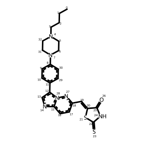 CCCCN1CCN(c2ccc(-c3cnc4ccc(/C=C5\SC(=S)NC5=O)nn34)cc2)CC1